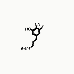 CCCC(C)CCCc1cc(O)c(C#N)c(F)c1